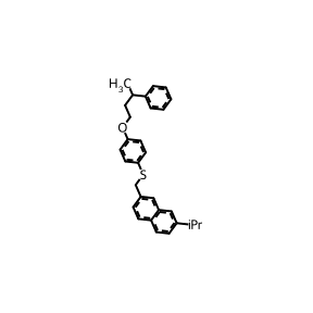 CC(C)c1ccc2ccc(CSc3ccc(OCCC(C)c4ccccc4)cc3)cc2c1